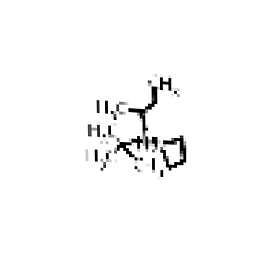 CCC(C)N([SiH]1CCC1)C(C)(C)C